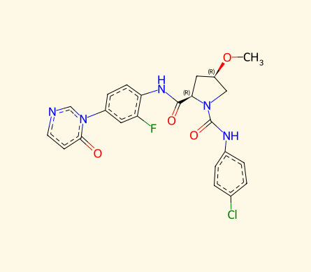 CO[C@@H]1C[C@H](C(=O)Nc2ccc(-n3cnccc3=O)cc2F)N(C(=O)Nc2ccc(Cl)cc2)C1